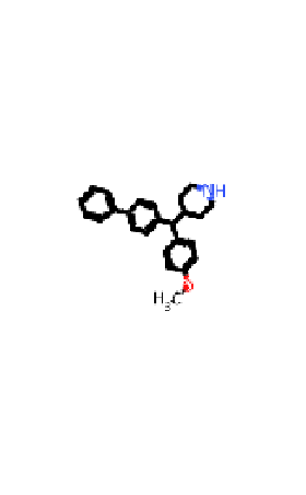 COc1ccc(C(c2ccc(-c3ccccc3)cc2)C2CCNCC2)cc1